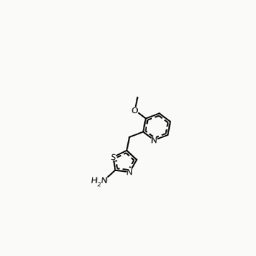 COc1cccnc1Cc1cnc(N)s1